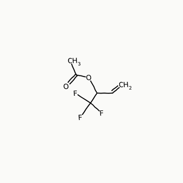 C=CC(OC(C)=O)C(F)(F)F